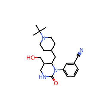 CC(C)(C)N1CCC(CC2C(CO)CNC(=O)N2c2cccc(C#N)c2)CC1